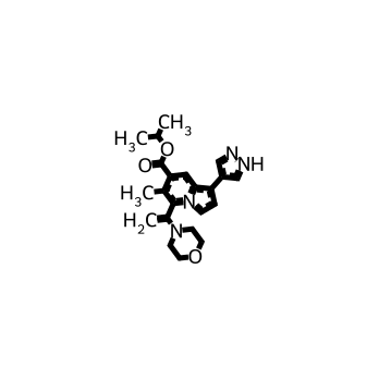 C=C(c1c(C)c(C(=O)OC(C)C)cc2c(-c3cn[nH]c3)ccn12)N1CCOCC1